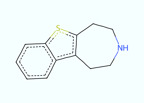 c1ccc2c3c(sc2c1)CCNCC3